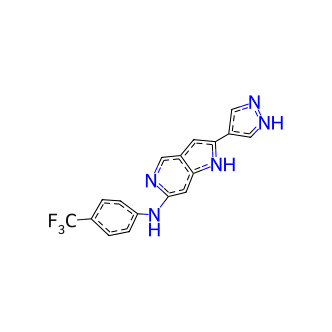 FC(F)(F)c1ccc(Nc2cc3[nH]c(-c4cn[nH]c4)cc3cn2)cc1